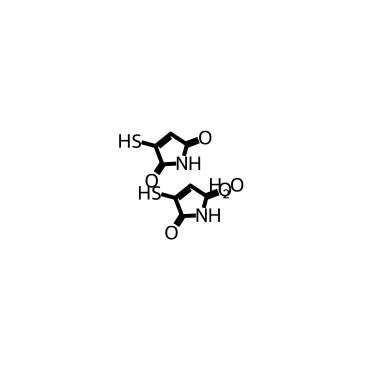 O.O=C1C=C(S)C(=O)N1.O=C1C=C(S)C(=O)N1